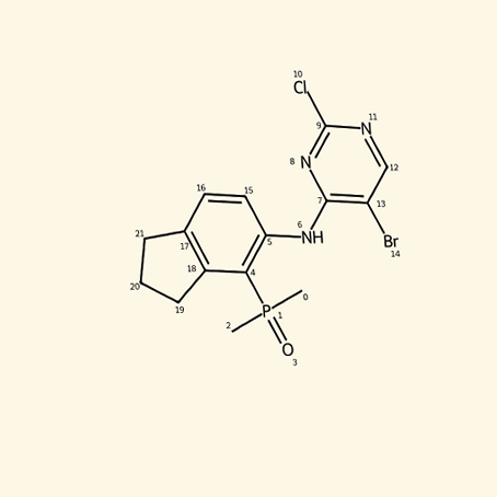 CP(C)(=O)c1c(Nc2nc(Cl)ncc2Br)ccc2c1CCC2